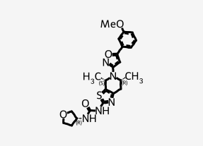 COc1cccc(-c2cc(N3[C@H](C)Cc4nc(NC(=O)N[C@@H]5CCOC5)sc4[C@@H]3C)no2)c1